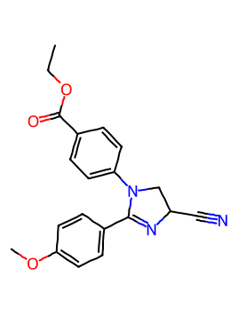 CCOC(=O)c1ccc(N2CC(C#N)N=C2c2ccc(OC)cc2)cc1